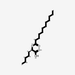 CCCCCCCCCCCC(=O)O[C@H](CCCCC)C(=O)O